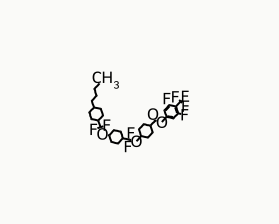 CCCCCC1CCC(C(F)(F)OC2CCC(C(F)(F)OC3CCC(C(=O)Oc4cc(F)c(C(F)(F)F)c(F)c4)CC3)CC2)CC1